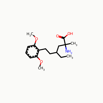 CCC(CCc1c(OC)cccc1OC)CC(C)(N)C(=O)O